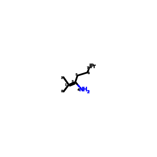 CC(C)=C(N)CCC(C)C